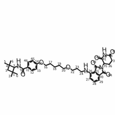 CC1(C)CC(C)(C)C1NC(=O)c1ccc(OCCCCCOCCCNc2cccc3c2C(=O)N(C2CCC(=O)NC2=O)C3=O)cc1